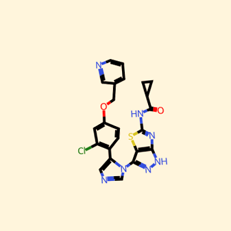 O=C(Nc1nc2[nH]nc(-n3cncc3-c3ccc(OCc4cccnc4)cc3Cl)c2s1)C1CC1